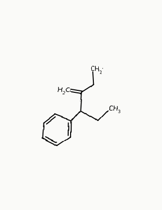 [CH2]CC(=C)C(CC)c1ccccc1